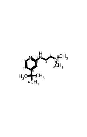 CN(C)CCNc1cc(C(C)(C)C)ccn1